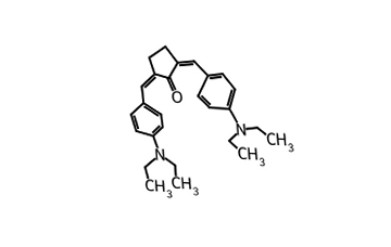 CCN(CC)c1ccc(C=C2CCC(=Cc3ccc(N(CC)CC)cc3)C2=O)cc1